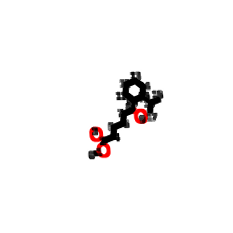 COC(=O)CCCCC(=O)[C@H]1CCCC[C@H]1C(C)C